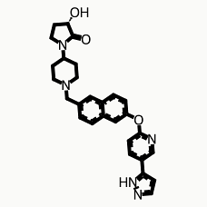 O=C1[C@@H](O)CCN1C1CCN(Cc2ccc3cc(Oc4ccc(-c5ccn[nH]5)cn4)ccc3c2)CC1